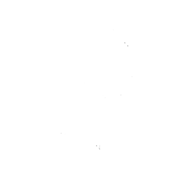 CN(C)c1ccc(-c2c[c]cnc2)cc1